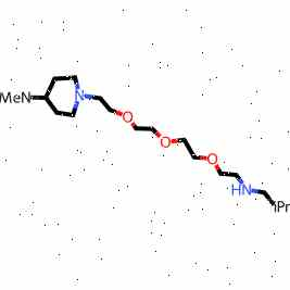 CNC1CCN(CCOCCOCCOCCNCC(C)C)CC1